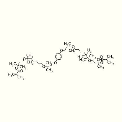 C=C(C)C(=O)OC(C)(C)CCOC(C)(C)CCCCCOC(C)(C)CCOc1ccc(OCCC(C)(C)OCCCCC(C)(C)C(C)(C)OCCC(C)(C)OC(=O)C(=C)C)cc1